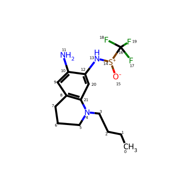 CCCCN1CCCc2cc(N)c(N[S+]([O-])C(F)(F)F)cc21